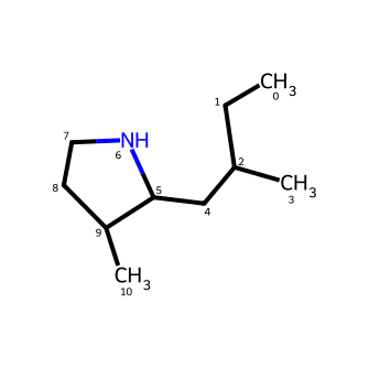 CCC(C)CC1NCCC1C